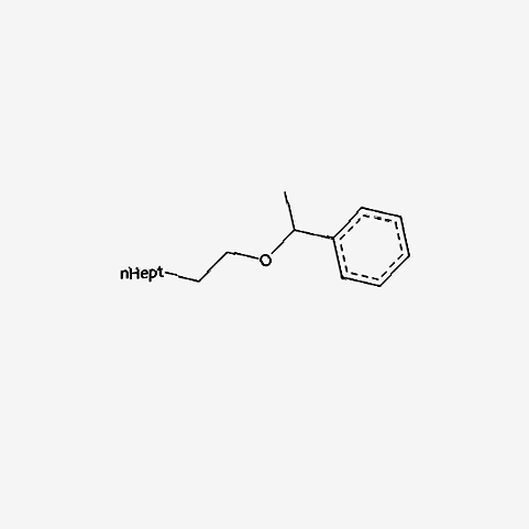 CCCCCCCCCOC(C)c1ccccc1